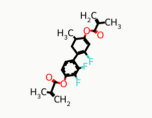 C=C(C)C(=O)OC1=CC(F)=C(c2ccc(OC(=O)C(=C)C)c(F)c2F)CC1C